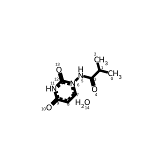 CC(C)C(=O)Nn1ccc(=O)[nH]c1=O.O